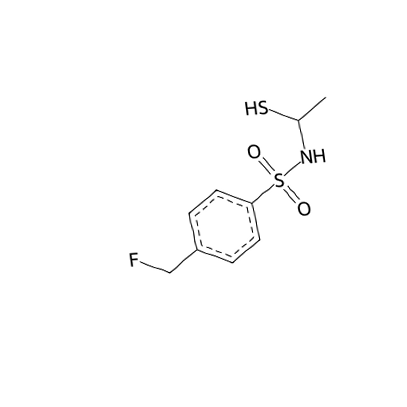 CC(S)NS(=O)(=O)c1ccc(CF)cc1